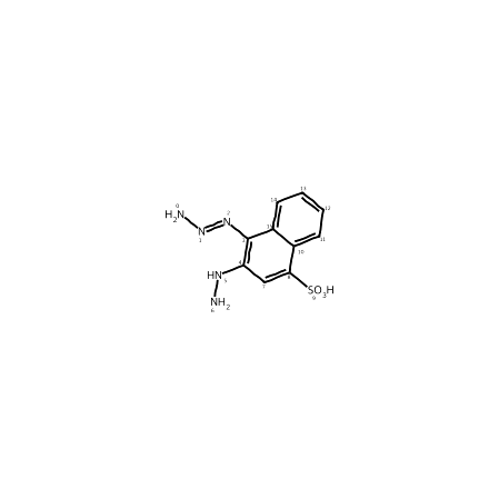 NN=Nc1c(NN)cc(S(=O)(=O)O)c2ccccc12